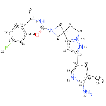 CC(NC(=O)N1CC2(CCn3nc(-c4cnc(N)c(C(F)(F)F)c4)cc32)C1)c1ccc(F)cc1